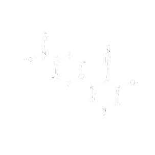 N#Cc1c(Cl)cncc1-c1ccc([N+](=O)[O-])cc1